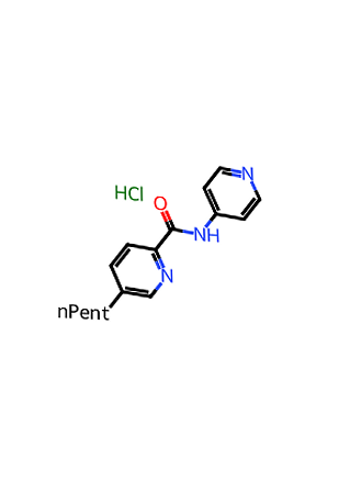 CCCCCc1ccc(C(=O)Nc2ccncc2)nc1.Cl